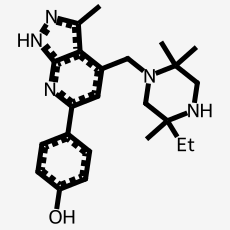 CCC1(C)CN(Cc2cc(-c3ccc(O)cc3)nc3[nH]nc(C)c23)C(C)(C)CN1